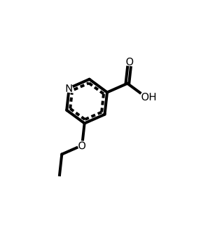 CCOc1cncc(C(=O)O)c1